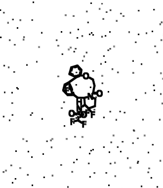 O=C1CCOc2ccccc2-c2cccc(c2F)CC2C(NS(=O)(=O)C(F)F)C(F)(F)CCN12